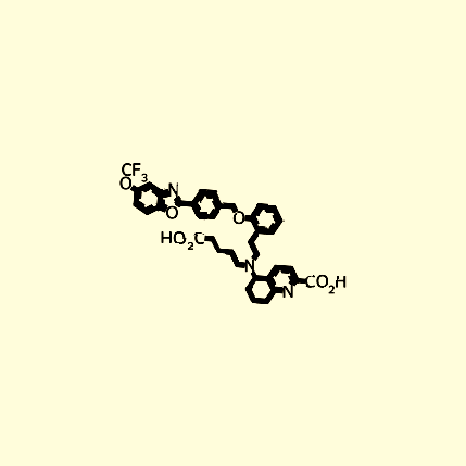 O=C(O)CCCCN(CCc1ccccc1OCc1ccc(-c2nc3cc(OC(F)(F)F)ccc3o2)cc1)C1CCCc2nc(C(=O)O)ccc21